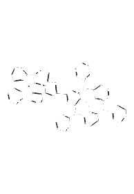 c1ccc(N2c3cccc4c3B3c5c2cccc5N(c2ccccc2)c2cc(-c5ccc6c7c(ccc6c5)-c5ccccc5C75c6ccccc6-c6ccccc65)cc(c23)N4c2ccccc2)cc1